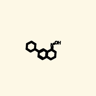 ON=C1CCCc2ccc(C3CCCCC3)cc21